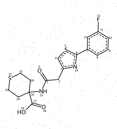 O=C(Cc1csc(-c2cccc(F)c2)n1)NC1(C(=O)O)CCSCC1